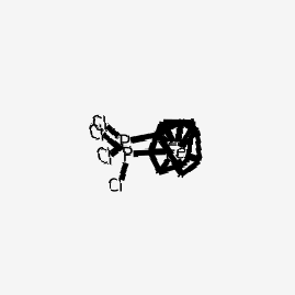 ClP(Cl)[C]12[CH]3[CH]4[CH]5[CH]1[Fe]45321678[CH]2[CH]1[CH]6[C]7(P(Cl)Cl)[CH]28